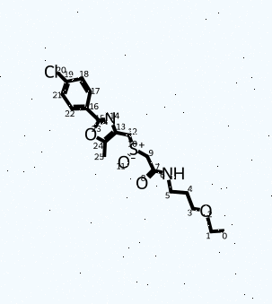 CCOCCCNC(=O)C[S+]([O-])Cc1nc(-c2ccc(Cl)cc2)oc1C